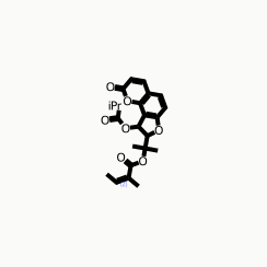 C/C=C(/C)C(=O)OC(C)(C)C1Oc2ccc3ccc(=O)oc3c2C1OC(=O)C(C)C